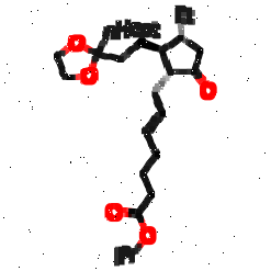 CCCCCCCC1(CC[C@H]2[C@H](CC)CC(=O)[C@@H]2CC=CCCCC(=O)OC(C)C)OCCO1